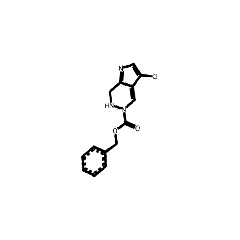 O=C(OCc1ccccc1)N1C=C2C(Cl)=CN=C2CN1